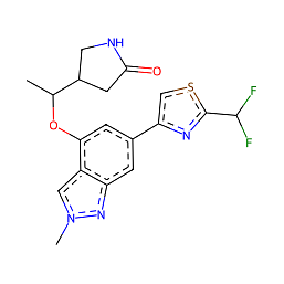 CC(Oc1cc(-c2csc(C(F)F)n2)cc2nn(C)cc12)C1CNC(=O)C1